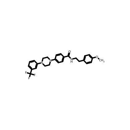 COc1ccc(CCNC(=O)c2ccc(N3CCN(c4cccc(C(F)(F)F)c4)CC3)cc2)cc1